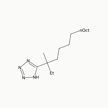 CCCCCCCCCCCCC(C)(CC)c1nnn[nH]1